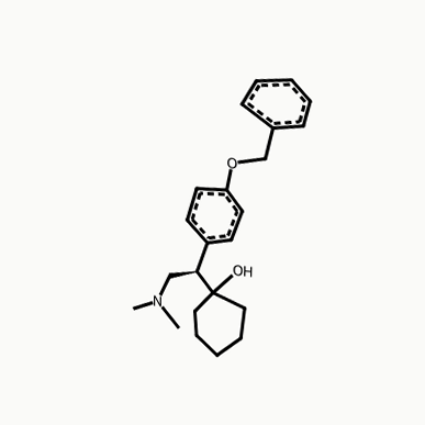 CN(C)C[C@@H](c1ccc(OCc2ccccc2)cc1)C1(O)CCCCC1